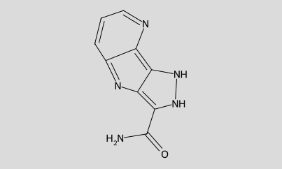 NC(=O)c1[nH][nH]c2c3ncccc3nc1-2